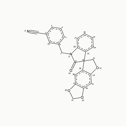 N#Cc1cccc(CN2C(=O)C3(COc4cc5c(cc43)OCO5)c3ccccc32)c1